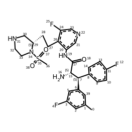 Cc1cc(F)cc([C@H](c2ccc(F)cc2)[C@H](N)C(=O)Nc2cncc(F)c2CC[C@H]2CNCCN2S(C)(=O)=O)c1